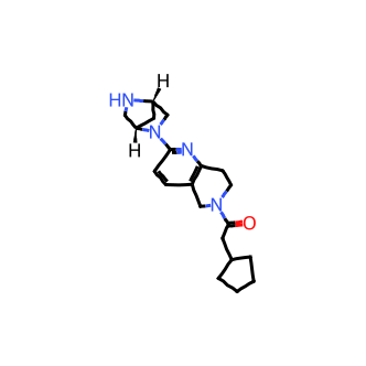 O=C(CC1CCCC1)N1CCc2nc(N3C[C@@H]4C[C@H]3CN4)ccc2C1